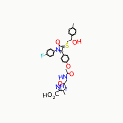 Cc1ccc(C(O)CS[C@H]2C(=O)N(c3ccc(F)cc3)[C@@H]2c2ccc(OCC(=O)NCC(=O)CC(C)[C@@H](N)C(=O)O)cc2)cc1